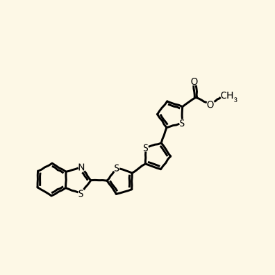 COC(=O)c1ccc(-c2ccc(-c3ccc(-c4nc5ccccc5s4)s3)s2)s1